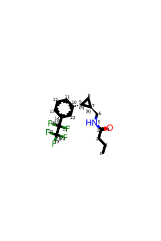 CCCC(=O)NC[C@@H]1C[C@H]1c1cccc(C(F)(F)C(F)(F)F)c1